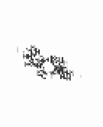 Nc1ncnc2c1[nH]c(=O)n2[C@@H]1OC2COP(=O)(S)O[C@H]3C(O)[C@@H](OC(=O)C(S)O[C@H]2C1CO)O[C@H]3n1c(=O)[nH]c2c(N)ncnc21